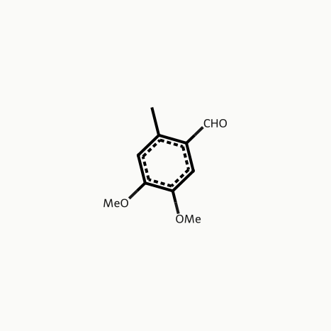 COc1cc(C)c(C=O)cc1OC